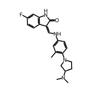 Cc1cc(NC=C2C(=O)Nc3cc(F)ccc32)ccc1N1CCC(N(C)C)C1